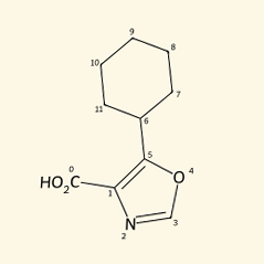 O=C(O)c1ncoc1C1CCCCC1